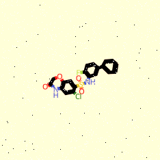 O=C1COc2cc(S(=O)(=O)Nc3cc(-c4cc#ccc4)ccc3F)c(Cl)cc2N1